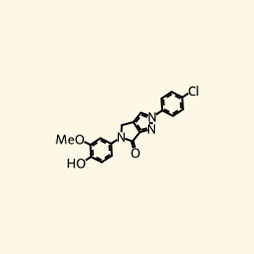 COc1cc(N2Cc3cn(-c4ccc(Cl)cc4)nc3C2=O)ccc1O